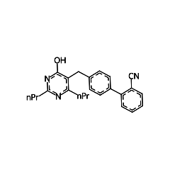 CCCc1nc(O)c(Cc2ccc(-c3ccccc3C#N)cc2)c(CCC)n1